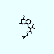 CC(=O)/C(=C\c1cccc2c(=O)cc(C)oc12)C(=O)OCC1CC1